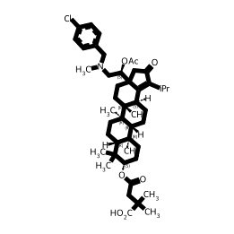 CC(=O)O[C@H](CN(C)Cc1ccc(Cl)cc1)C12CC[C@]3(C)[C@H](CC[C@@H]4[C@@]5(C)CC[C@H](OC(=O)CC(C)(C)C(=O)O)C(C)(C)[C@@H]5CC[C@]43C)C1=C(C(C)C)C(=O)C2